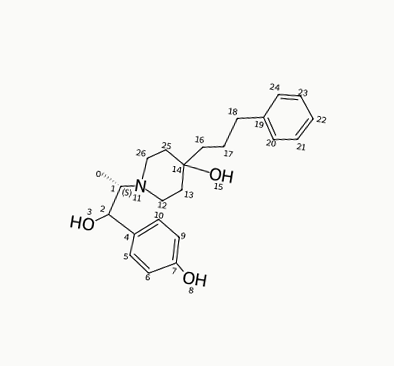 C[C@@H](C(O)c1ccc(O)cc1)N1CCC(O)(CCCc2ccccc2)CC1